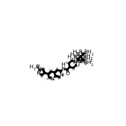 BC(B)(B)C(B)(C(B)(B)B)C(B)(B)N1CCC(C(=O)Nc2cc3cc(-c4cnn(C)c4)cnc3cn2)CC1